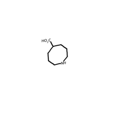 O=C(O)C1CCCNCCC1